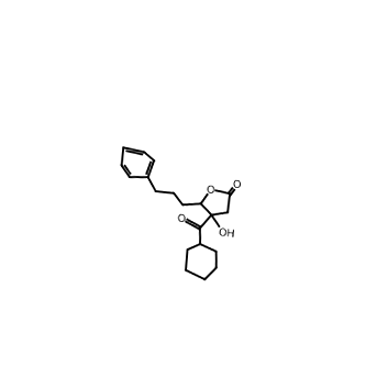 O=C1CC(O)(C(=O)C2CCCCC2)C(CCCc2ccccc2)O1